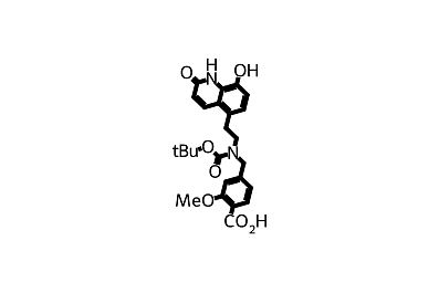 COc1cc(CN(CCc2ccc(O)c3[nH]c(=O)ccc23)C(=O)OC(C)(C)C)ccc1C(=O)O